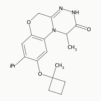 CC(C)c1cc2c(cc1OC1(C)CCC1)N1C(=NNC(=O)C1C)CO2